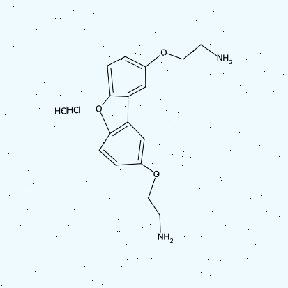 Cl.Cl.NCCOc1ccc2oc3ccc(OCCN)cc3c2c1